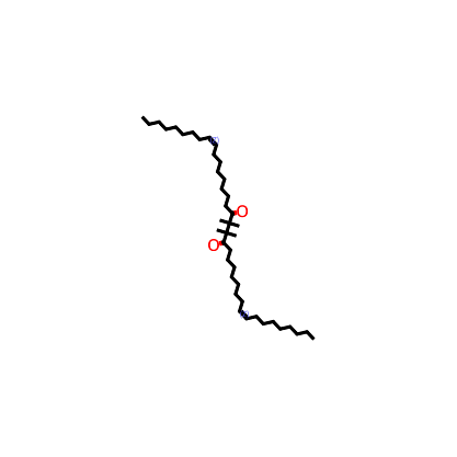 CCCCCCCC/C=C\CCCCCCCC(=O)C(C)(C)C(C)(C)C(=O)CCCCCCC/C=C\CCCCCCCC